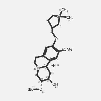 COc1cc2c(cc1OCC1CC[Si](C)(C)C1)CCN1C[C@@H](OC(C)(C)C)[C@H](O)C[C@H]21